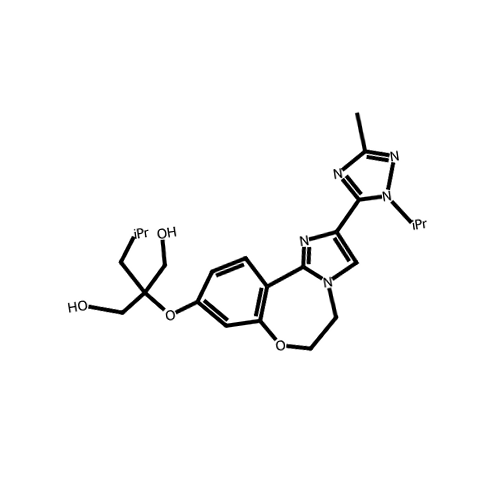 Cc1nc(-c2cn3c(n2)-c2ccc(OC(CO)(CO)CC(C)C)cc2OCC3)n(C(C)C)n1